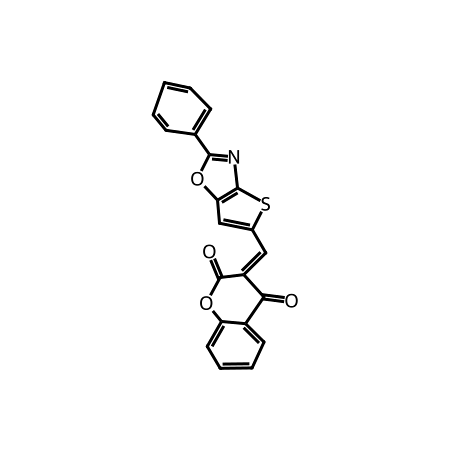 O=C1Oc2ccccc2C(=O)/C1=C/c1cc2oc(-c3ccccc3)nc2s1